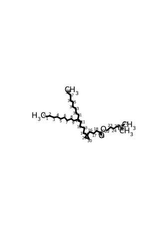 CCCCCCCCCC/C(=C\CCCC1(CCCC(=O)OCCCCN(C)C)CC1)CCCCCCCCC